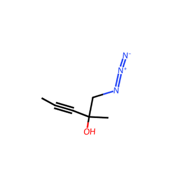 CC#CC(C)(O)CN=[N+]=[N-]